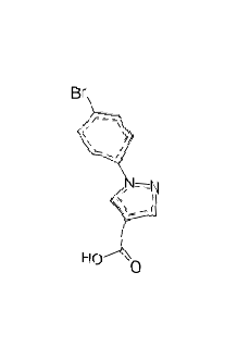 O=C(O)c1cnn(-c2ccc(Br)cc2)c1